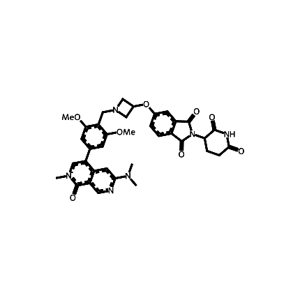 COc1cc(-c2cn(C)c(=O)c3cnc(N(C)C)cc23)cc(OC)c1CN1CC(Oc2ccc3c(c2)C(=O)N(C2CCC(=O)NC2=O)C3=O)C1